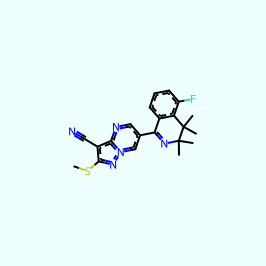 CSc1nn2cc(C3=NC(C)(C)C(C)(C)c4c(F)cccc43)cnc2c1C#N